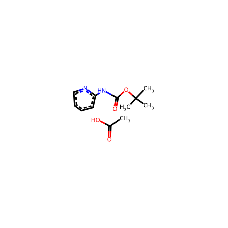 CC(=O)O.CC(C)(C)OC(=O)Nc1ccccn1